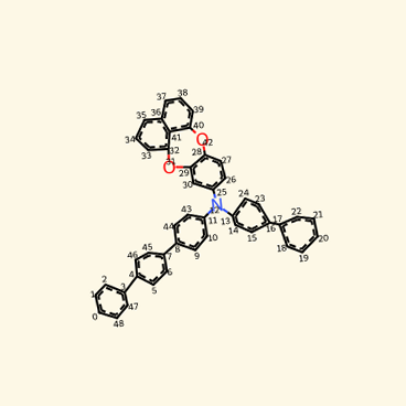 c1ccc(-c2ccc(-c3ccc(N(c4ccc(-c5ccccc5)cc4)c4ccc5c(c4)Oc4cccc6cccc(c46)O5)cc3)cc2)cc1